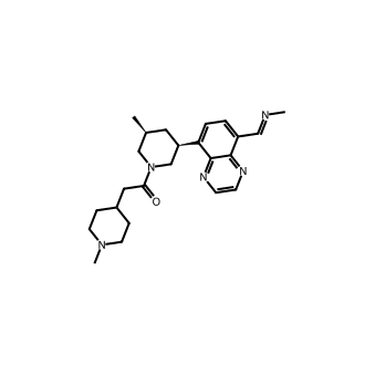 C/N=C/c1ccc([C@@H]2C[C@H](C)CN(C(=O)CC3CCN(C)CC3)C2)c2nccnc12